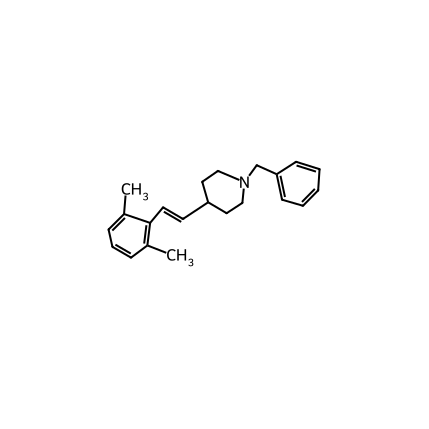 Cc1cccc(C)c1C=CC1CCN(Cc2ccccc2)CC1